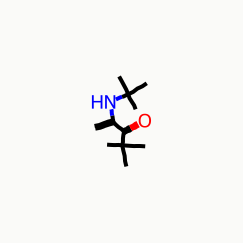 C=C(NC(C)(C)C)C(=O)C(C)(C)C